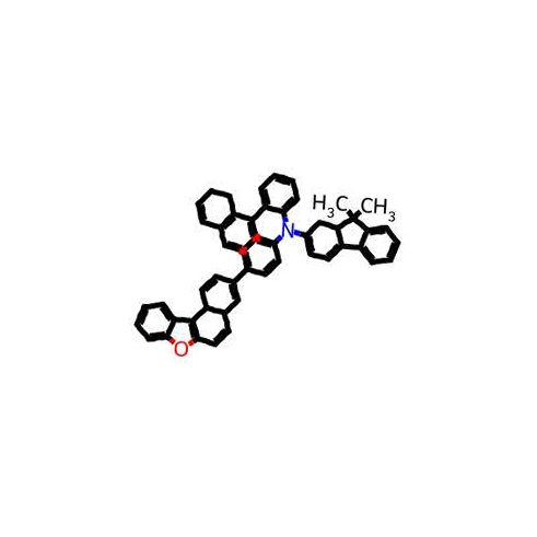 CC1(C)c2ccccc2C2=CC=C(N(c3ccc(C4=CC5C=Cc6oc7ccccc7c6C5C=C4)cc3)c3ccccc3-c3cccc4c3CCC=C4)CC21